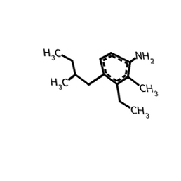 CCc1c(CC(C)CC)ccc(N)c1C